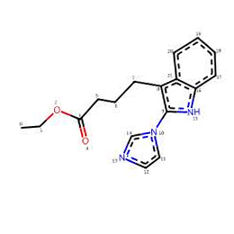 CCOC(=O)CCCc1c(-n2ccnc2)[nH]c2ccccc12